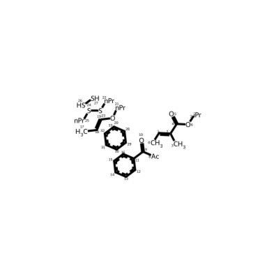 C/C=C(\C)C(=O)OC(C)C.CC(=O)C(=O)c1ccccc1.CC=COCCC.CCCSSCCC.SS.c1ccccc1